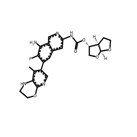 Cc1c(-c2cc3cc(NC(=O)O[C@H]4CO[C@@H]5OCC[C@@H]54)ncc3c(N)c2F)cnc2c1NCCO2